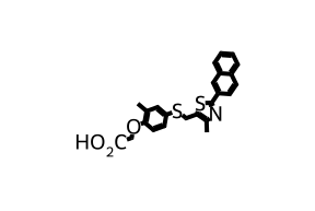 Cc1cc(SCc2sc(-c3ccc4ccccc4c3)nc2C)ccc1OCC(=O)O